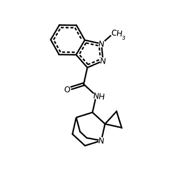 Cn1nc(C(=O)NC2C3CCN(CC3)C23CC3)c2ccccc21